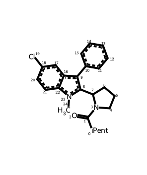 CCCC(C)C(=O)N1CCCC1c1c(-c2ccccc2)c2cc(Cl)ccc2n1C